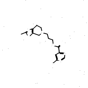 Cc1nc2c(s1)CN(C[C@@H](O)CNC(=O)c1cc(Cl)ncn1)CC2